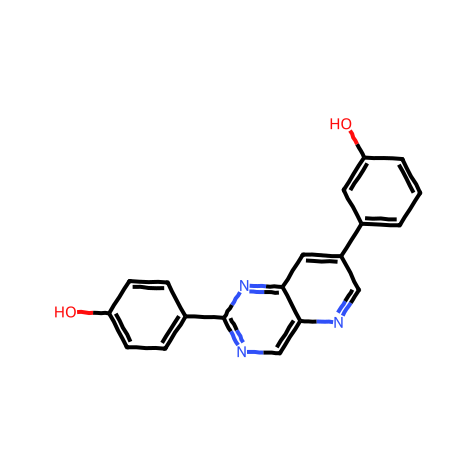 Oc1ccc(-c2ncc3ncc(-c4cccc(O)c4)cc3n2)cc1